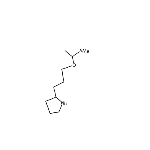 CSC(C)OCCCC1CCCN1